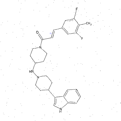 Cc1c(F)cc(/C=C/C(=O)N2CCC(NN3CCC(c4c[nH]c5ccccc45)CC3)CC2)cc1F